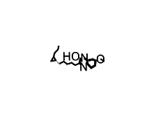 CCCC1C[C@H]1CCCCCc1nc2ccc(OC)cc2nc1O